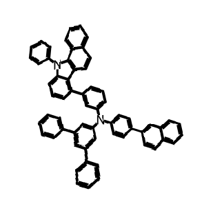 c1ccc(-c2cc(-c3ccccc3)cc(N(c3ccc(-c4ccc5ccccc5c4)cc3)c3cccc(-c4cccc5c4c4ccc6ccccc6c4n5-c4ccccc4)c3)c2)cc1